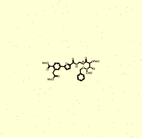 CCCCCC(C(=O)NCNC(=O)c1ccc(-c2ccc(C(=O)OC)c(CC(=O)OC)c2)o1)[C@@H](CC)N(C=O)OCc1ccccc1